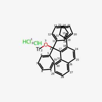 Cl.Cl.[Ti][O]C(c1ccccc1)(c1ccccc1)c1c(C2=CC=CC2)ccc2ccccc12